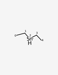 C[CH2][SnH][CH2]C